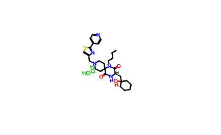 CCCCN1C(=O)[C@@H](CC2(O)CCCCC2)NC(=O)C12CCN(Cc1csc(-c3ccncc3)n1)CC2.Cl.Cl